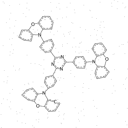 c1ccc2c(c1)Oc1ccccc1N2c1ccc(-c2nc(-c3ccc(N4c5ccccc5Oc5ccccc54)cc3)nc(-c3ccc(N4c5ccccc5Oc5ccccc54)cc3)n2)cc1